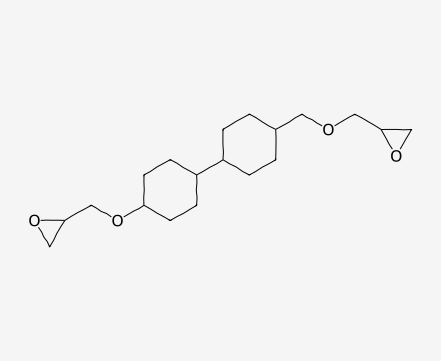 C1CC(C2CCC(OCC3CO3)CC2)CCC1COCC1CO1